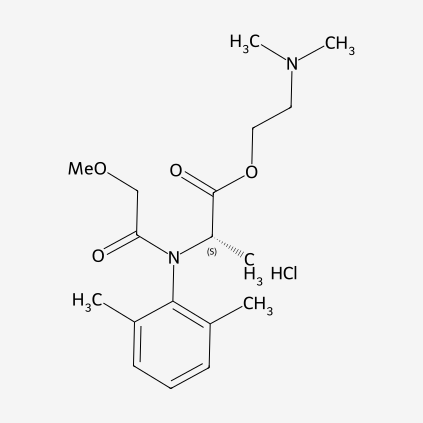 COCC(=O)N(c1c(C)cccc1C)[C@@H](C)C(=O)OCCN(C)C.Cl